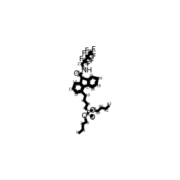 CCCCOP(=O)(CCCCc1cccc2c1-c1ccccc1C2C(=O)NCC(F)(F)C(F)(F)C(F)(F)F)OCCCC